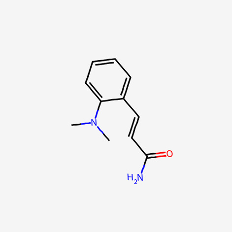 CN(C)c1ccccc1/C=C/C(N)=O